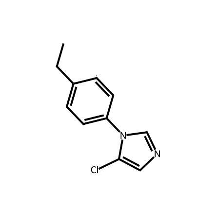 CCc1[c]cc(-n2cncc2Cl)cc1